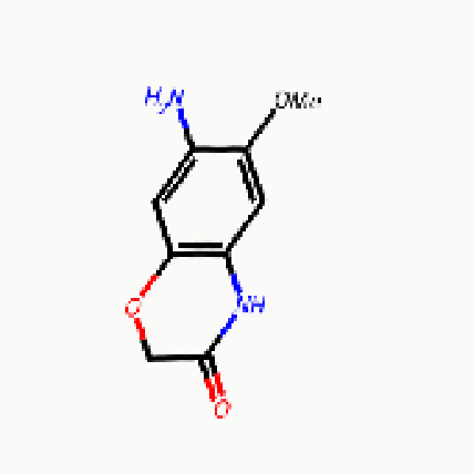 COc1cc2c(cc1N)OCC(=O)N2